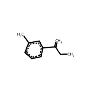 C=C(CC)c1cccc(C)c1